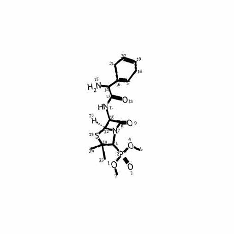 COP(=O)(OC)C1N2C(=O)C(NC(=O)C(N)C3=CCC=CC3)[C@@H]2SC1(C)C